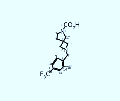 O=C(O)N1CCC2(CN(Cc3ccc(C(F)(F)F)cc3F)C2)C1